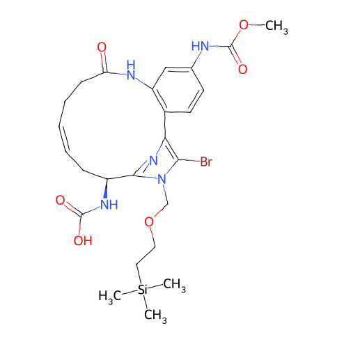 COC(=O)Nc1ccc2c(c1)NC(=O)CCC=CC[C@H](NC(=O)O)c1nc-2c(Br)n1COCC[Si](C)(C)C